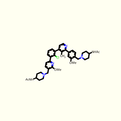 COc1cc(-c2nccc(-c3cccc(-c4ccc(CN5CCC(NC(C)=O)CC5)c(OC)n4)c3Cl)c2C)ccc1CN1CCC(NC(C)=O)CC1